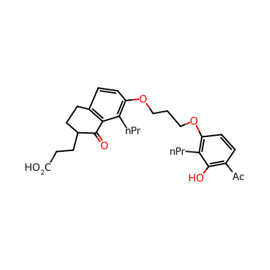 CCCc1c(OCCCOc2ccc3c(c2CCC)C(=O)C(CCC(=O)O)CC3)ccc(C(C)=O)c1O